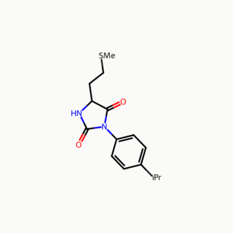 CSCCC1NC(=O)N(c2ccc(C(C)C)cc2)C1=O